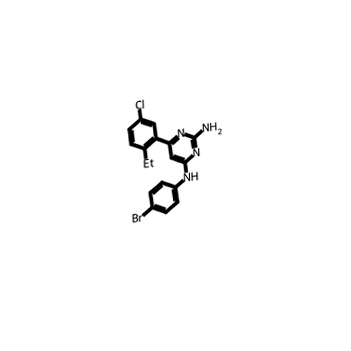 CCc1ccc(Cl)cc1-c1cc(Nc2ccc(Br)cc2)nc(N)n1